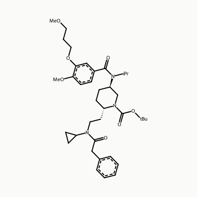 COCCCOc1cc(C(=O)N(C(C)C)[C@@H]2CC[C@@H](CCN(C(=O)Cc3ccccc3)C3CC3)N(C(=O)OC(C)(C)C)C2)ccc1OC